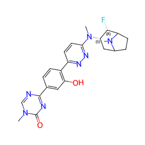 CN1C2CCC1[C@@H](F)[C@@H](N(C)c1ccc(-c3ccc(-c4ncn(C)c(=O)n4)cc3O)nn1)C2